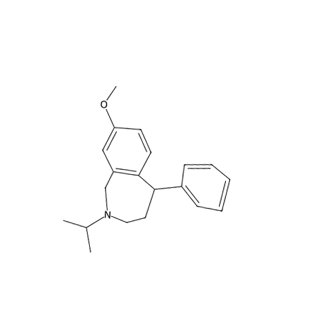 COc1ccc2c(c1)CN(C(C)C)CCC2c1ccccc1